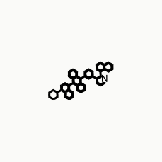 c1cc(-c2cccnc2-c2cccc3ccccc23)cc(-c2c3ccccc3c(-c3ccc(C4CCCCC4)c4ccccc34)c3ccccc23)c1